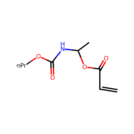 C=CC(=O)OC(C)NC(=O)O[CH]CC